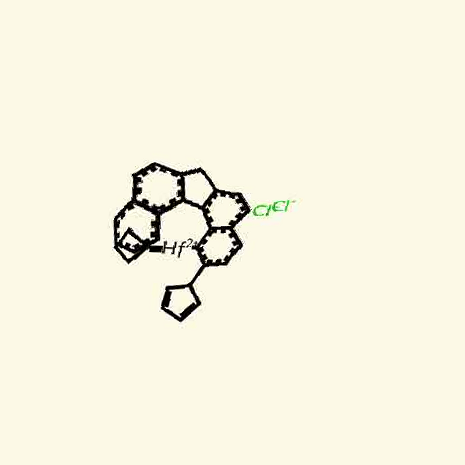 C1=CC(c2ccc3ccc4c(c3[c]2[Hf+2]=[C]2CCC2)-c2c(ccc3ccccc23)C4)C=C1.[Cl-].[Cl-]